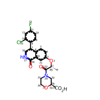 C[C@@H](Oc1ccc2c(-c3ccc(F)cc3Cl)c[nH]c(=O)c2c1)C(=O)N1CCO[C@H](C(=O)O)C1